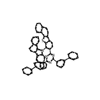 c1ccc(-c2ccc(-c3nc(-c4cccc(-c5ccccc5)c4)nc(-c4ccc5c(sc6c7ccccc7ccc56)c4-n4c5cc6ccccc6cc5c5ccc6ccccc6c54)n3)cc2)cc1